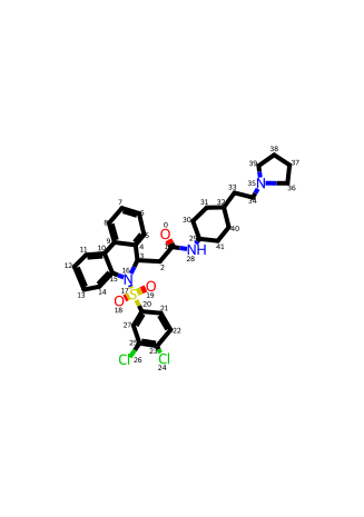 O=C(CC1c2ccccc2-c2ccccc2N1S(=O)(=O)c1ccc(Cl)c(Cl)c1)NC1CCC(CCN2CCCC2)CC1